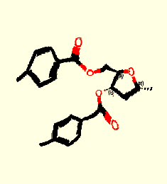 Cc1ccc(C(=O)OC[C@H]2O[C@H](C)C[C@@H]2OC(=O)c2ccc(C)cc2)cc1